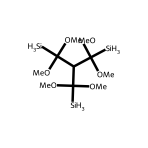 COC([SiH3])(OC)C(C([SiH3])(OC)OC)C([SiH3])(OC)OC